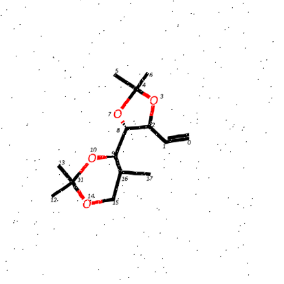 C=CC1OC(C)(C)O[C@H]1[C@@H]1OC(C)(C)OCC1C